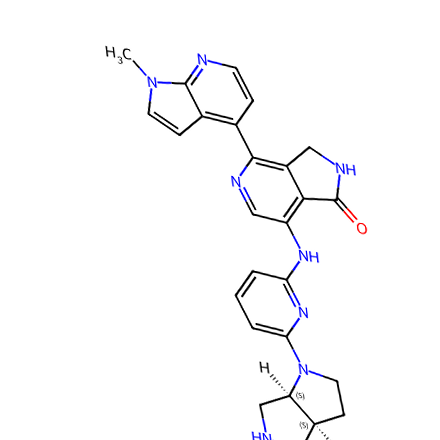 Cn1ccc2c(-c3ncc(Nc4cccc(N5CC[C@H]6CNC[C@H]65)n4)c4c3CNC4=O)ccnc21